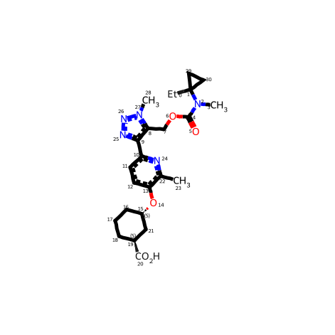 CCC1(N(C)C(=O)OCc2c(-c3ccc(O[C@H]4CCC[C@H](C(=O)O)C4)c(C)n3)nnn2C)CC1